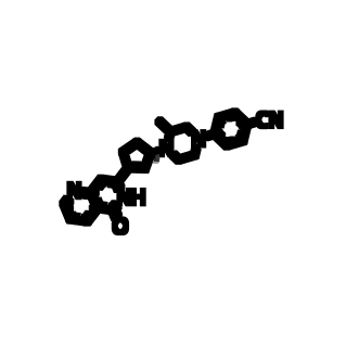 CC1CN(c2ccc(C#N)cc2)CCN1[C@H]1C=C(c2cc3ncccc3c(=O)[nH]2)CC1